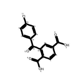 O=C(O)c1ccc(C(=O)O)c(C(=O)c2ccc(Cl)cc2)c1